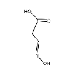 O=C(O)CC=NO